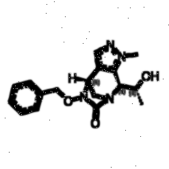 C[C@@H](O)[C@@H]1c2c(cnn2C)[C@@H]2CN1C(=O)N2OCc1ccccc1